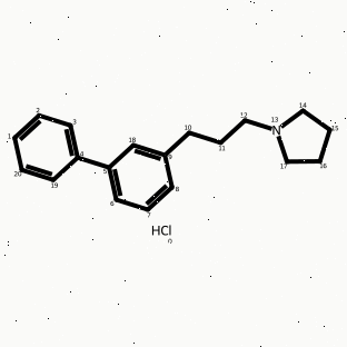 Cl.c1ccc(-c2cccc(CCCN3CCCC3)c2)cc1